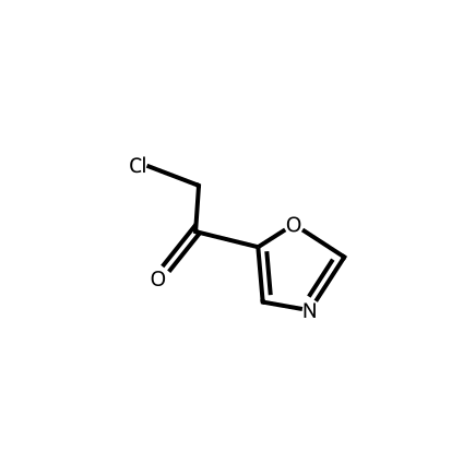 O=C(CCl)c1cnco1